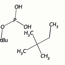 CC(C)(C)OP(O)O.CCC(C)(C)C